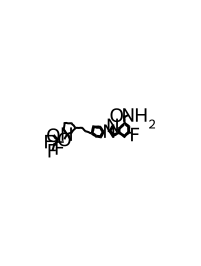 NC(=O)c1cc(F)cc2cn(-c3ccc(CCC4CCCN(OC(=O)C(F)(F)F)C4)cc3)nc12